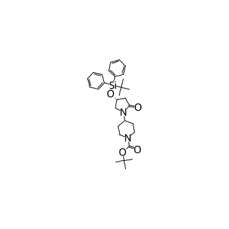 CC(C)(C)OC(=O)N1CCC(N2C[C@H](O[Si](c3ccccc3)(c3ccccc3)C(C)(C)C)CC2=O)CC1